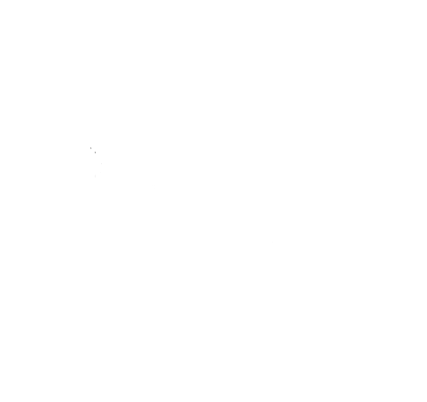 CCC=CCC=CCC=CCC=CCC=CCC=CCCC(=O)Nc1c(C(C)C)cccc1C(C)C